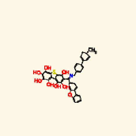 CC1C=CC(c2ccc(C/N=C(\c3ccc4c(c3)oc3ccccc34)c3c(O)c(O)c4c(sc5c(O)c(O)c(O)c(O)c54)c3O)cc2)=CC1